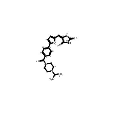 CC(C)N1CCN(C(=O)c2ccc(-c3ccc(C=C4SC(=S)NC4=O)o3)cc2)CC1